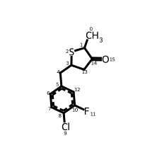 CC1SC(Cc2ccc(Cl)c(F)c2)CC1=O